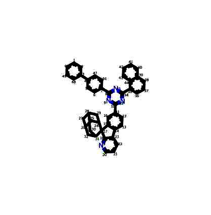 c1ccc(-c2ccc(-c3nc(-c4ccc5c(c4)C4(c6ncccc6-5)C5CC6CC(C5)CC4C6)nc(-c4cccc5ccccc45)n3)cc2)cc1